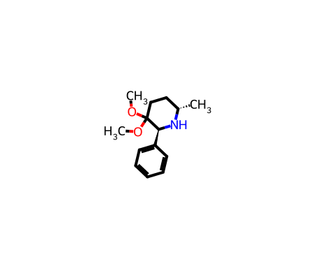 COC1(OC)CC[C@H](C)N[C@H]1c1ccccc1